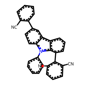 N#Cc1ccccc1-c1ccc2c(c1)c1cccc(-c3c(C#N)cccc3C#N)c1n2-c1ccccc1